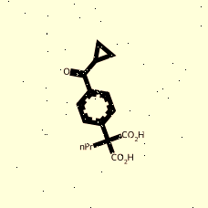 CCCC(C(=O)O)(C(=O)O)c1ccc(C(=O)C2CC2)cc1